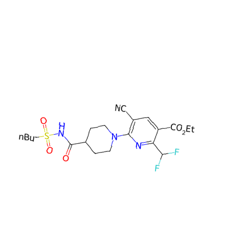 CCCCS(=O)(=O)NC(=O)C1CCN(c2nc(C(F)F)c(C(=O)OCC)cc2C#N)CC1